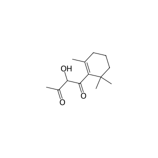 CC(=O)C(O)C(=O)C1=C(C)CCCC1(C)C